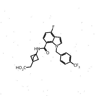 O=C(O)CC12CC(NC(=O)c3ccc(F)c4ccn(Cc5ccc(C(F)(F)F)cc5)c34)(C1)C2